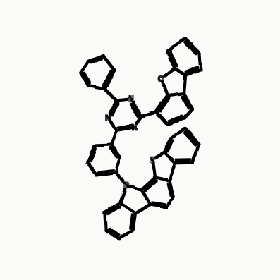 c1ccc(-c2nc(-c3cccc(-n4c5ccccc5c5ccc6c7ccccc7sc6c54)c3)nc(-c3cccc4c3oc3ccccc34)n2)cc1